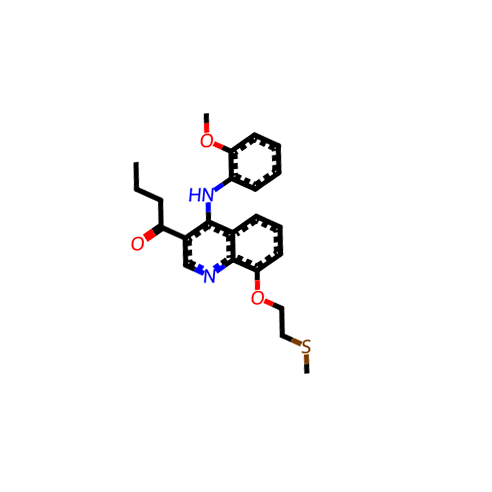 CCCC(=O)c1cnc2c(OCCSC)cccc2c1Nc1ccccc1OC